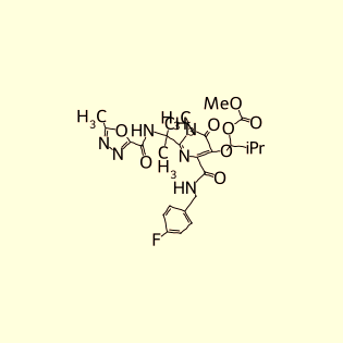 COC(=O)OC(Oc1c(C(=O)NCc2ccc(F)cc2)nc(C(C)(C)NC(=O)c2nnc(C)o2)n(C)c1=O)C(C)C